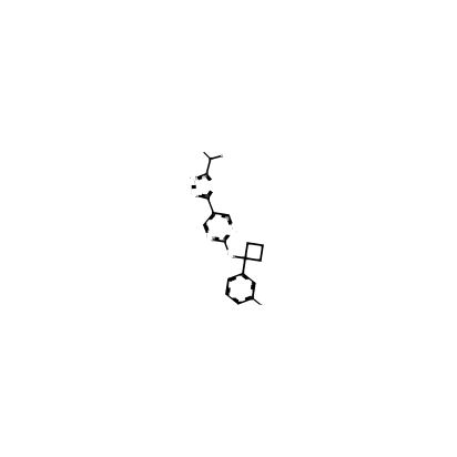 Fc1cccc(C2(Nc3ncc(-c4nnc(C(F)F)o4)cn3)CCC2)c1